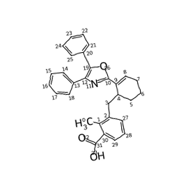 Cc1c(CC2CCCC=C2c2nc(-c3ccccc3)c(-c3ccccc3)o2)cccc1C(=O)O